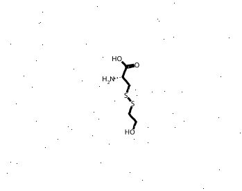 N[C@@H](CSSCCO)C(=O)O